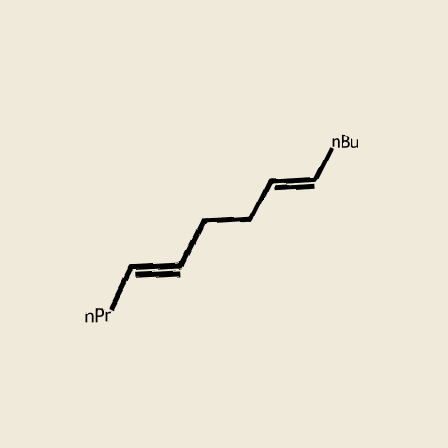 [CH2]CCC=CCCC=CCCCC